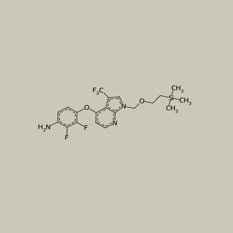 C[Si](C)(C)CCOCn1cc(C(F)(F)F)c2c(Oc3ccc(N)c(F)c3F)ccnc21